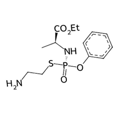 CCOC(=O)[C@H](C)N[P@@](=O)(Oc1ccccc1)SCCN